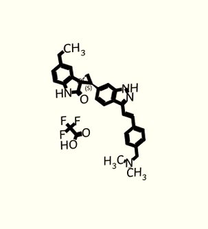 CCc1ccc2c(c1)[C@]1(C[C@H]1c1ccc3c(C=Cc4ccc(CN(C)C)cc4)n[nH]c3c1)C(=O)N2.O=C(O)C(F)(F)F